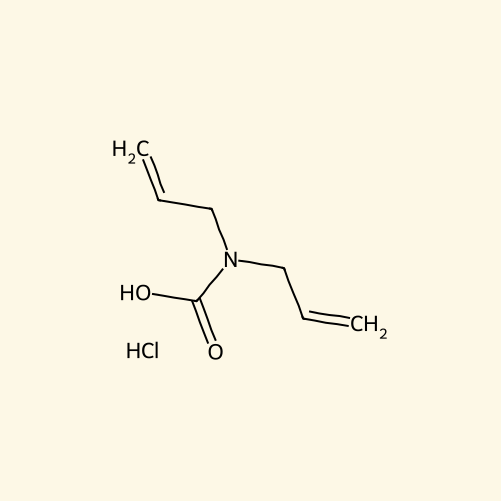 C=CCN(CC=C)C(=O)O.Cl